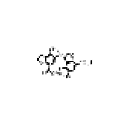 COC(=O)c1cc(Br)c(C)c2c1OCC2.Cc1c(Br)cc(C(=O)O)c2c1CCO2